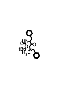 CN(CC(=O)C(Cc1ccccc1)NC(=O)OC(C)(C)C)Cc1ccccc1